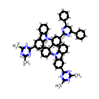 Cc1nc(C)nc(-c2ccc3c(c2)c2ccccc2n3-c2ccccc2-c2ccc(-c3nc(-c4ccccc4)cc(-c4ccccc4)n3)cc2-n2c3ccccc3c3cc(-c4nc(C)nc(C)n4)ccc32)n1